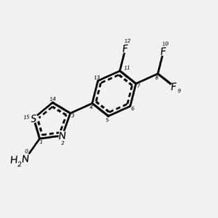 Nc1nc(-c2ccc(C(F)F)c(F)c2)cs1